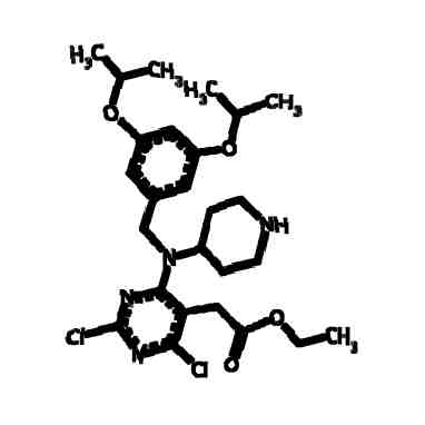 CCOC(=O)Cc1c(Cl)nc(Cl)nc1N(Cc1cc(OC(C)C)cc(OC(C)C)c1)C1CCNCC1